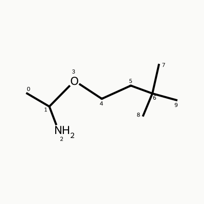 CC(N)OCCC(C)(C)C